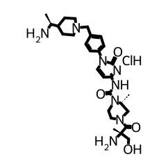 C[C@H](N)C1CCN(Cc2ccc(-n3ccc(NC(=O)N4CCN(C(=O)[C@@](C)(N)CO)C[C@H]4C)nc3=O)cc2)CC1.Cl